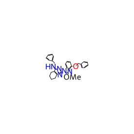 COc1nc2c(OCc3ccccc3)cccc2n1-c1nc2c(c(NCc3ccccc3)n1)CCCC2